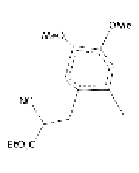 CCOC(=O)C(C#N)Cc1cc(OC)c(OC)cc1C